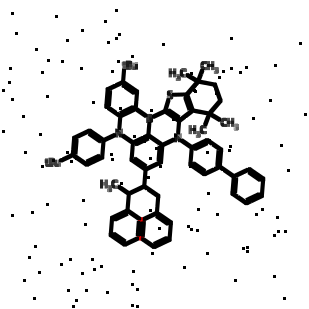 CC(c1ccccc1)C(Cc1ccccc1)c1cc2c3c(c1)N(c1ccc(-c4ccccc4)cc1)c1c(sc4c1C(C)(C)CCC4(C)C)B3c1cc(C(C)(C)C)ccc1N2c1ccc(C(C)(C)C)cc1